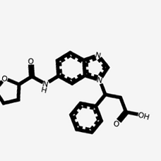 O=C(O)CC(c1ccccc1)n1cnc2ccc(NC(=O)C3CCCO3)cc21